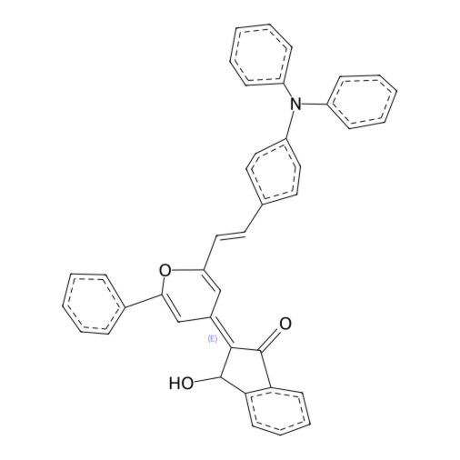 O=C1/C(=C2\C=C(C=Cc3ccc(N(c4ccccc4)c4ccccc4)cc3)OC(c3ccccc3)=C2)C(O)c2ccccc21